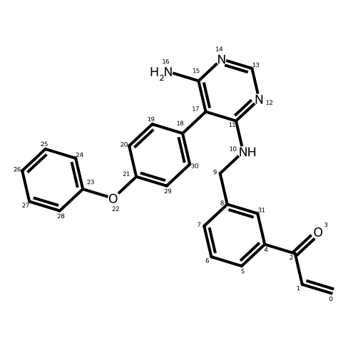 C=CC(=O)c1cccc(CNc2ncnc(N)c2-c2ccc(Oc3ccccc3)cc2)c1